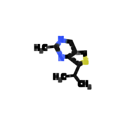 Cc1ncc2csc(C(C)C)c2n1